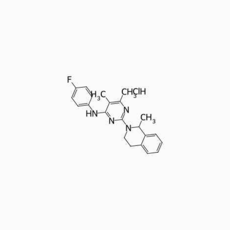 Cc1nc(N2CCc3ccccc3C2C)nc(Nc2ccc(F)cc2)c1C.Cl